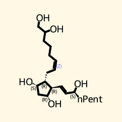 CCCCC[C@H](O)C=C[C@@H]1[C@@H](C/C=C\CCCC(O)CO)[C@@H](O)C[C@H]1O